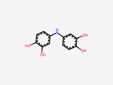 Oc1ccc(Nc2ccc(O)c(O)c2)cc1O